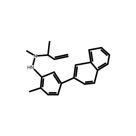 C=CC(C)N(C)Nc1cc(-c2ccc3ccccc3c2)ccc1C